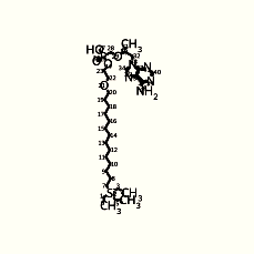 CC[Si](CC)(CC)CCCCCCCCCCCCCCOCCOP(=O)(O)CO[C@H](C)Cn1cnc2c(N)ncnc21